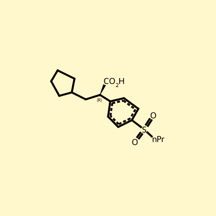 CCCS(=O)(=O)c1ccc([C@@H](CC2CCCC2)C(=O)O)cc1